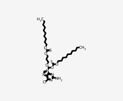 CCCCCCCCCCOC(=S)OCCCOC(OC(=S)OCCCCCCCCCC)n1cnc2c(Cl)nc(N)nc21